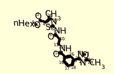 CCCCCCOC(=O)c1sc(NC(=O)CCNC(=O)c2cccc(-c3noc(C)n3)c2)nc1C